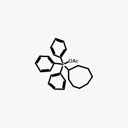 CC(=O)OP(c1ccccc1)(c1ccccc1)(c1ccccc1)C1CCCCCCC1